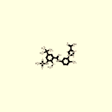 COc1c(NS(C)(=O)=O)cc(C(C)(C)C)cc1C(=O)Nc1ccc(C)c(-n2cc(C(=O)O)nn2)c1